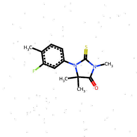 Cc1ccc(N2C(=S)N(C)C(=O)C2(C)C)cc1F